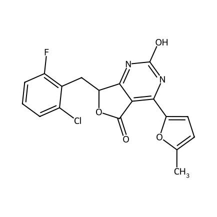 Cc1ccc(-c2nc(O)nc3c2C(=O)OC3Cc2c(F)cccc2Cl)o1